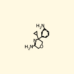 NC1=NC(c2cccc(N)c2)(C2CC2)COC1